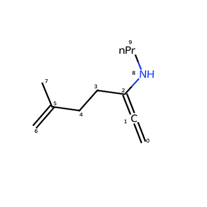 C=C=C(CCC(=C)C)NCCC